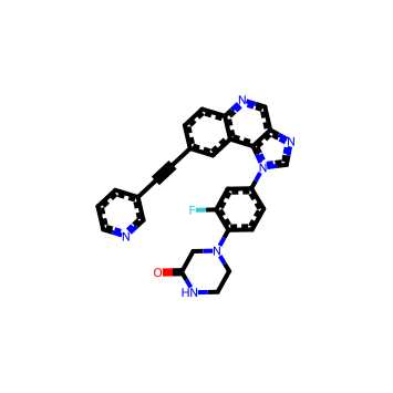 O=C1CN(c2ccc(-n3cnc4cnc5ccc(C#Cc6cccnc6)cc5c43)cc2F)CCN1